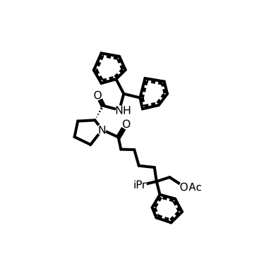 CC(=O)OCC(CCCCC(=O)N1CCC[C@@H]1C(=O)NC(c1ccccc1)c1ccccc1)(c1ccccc1)C(C)C